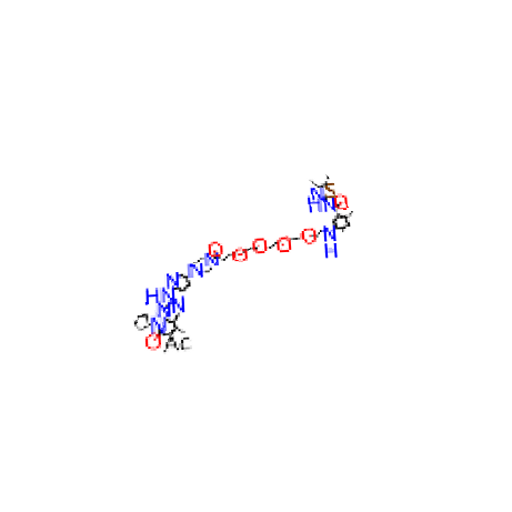 CC(=O)c1c(C)c2cnc(Nc3ccc(N4CCN(C(=O)CCOCCOCCOCCOCCNc5ccc(C)c(C(=O)Nc6nc(C)c(C)s6)c5)CC4)cn3)nc2n(C2CCCC2)c1=O